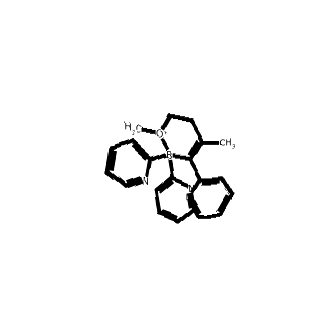 CC1=C(c2ccccn2)[B-](c2ccccn2)(c2ccccn2)[O+](C)CC1